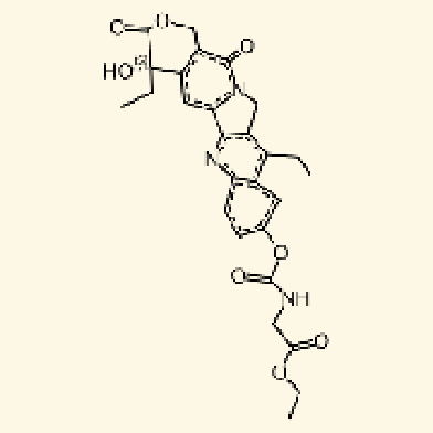 CCOC(=O)CNC(=O)Oc1ccc2nc3c(c(CC)c2c1)Cn1c-3cc2c(c1=O)COC(=O)[C@]2(O)CC